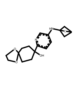 OC1(c2ccc(NC34CC(C3)C4)cn2)CCC2(CC1)OCCO2